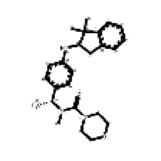 CN(C(=O)N1CCOCC1)[C@@H](c1ccc(NC2Cc3ccccc3C2(C)C)cc1)C(F)(F)F